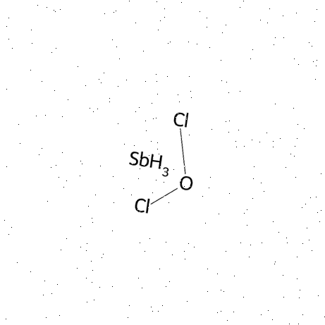 ClOCl.[SbH3]